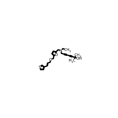 CCN(CC#CC#CC(C)(C)O)Cc1ccc(COC/C=C/c2ccsc2)o1